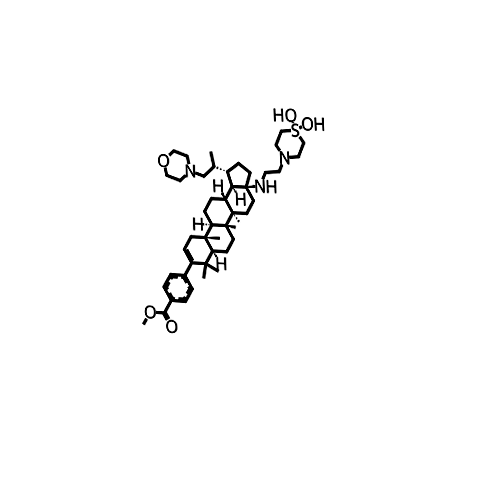 COC(=O)c1ccc(C2=CC[C@]3(C)[C@H]4CC[C@@H]5[C@H]6[C@H](C(C)CN7CCOCC7)CC[C@]6(NCCN6CCS(O)(O)CC6)CC[C@@]5(C)[C@]4(C)CC[C@H]3C2(C)C)cc1